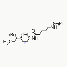 C=CC(CCCC)C(=C)/C=C\C(CC)NC(=O)CCCCNSC(C)C